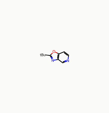 CC(C)(C)c1nc2cnccc2o1